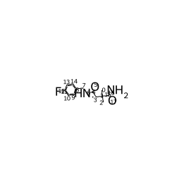 CC(C)([CH]C(=O)NCc1ccc(F)cc1)C(N)=O